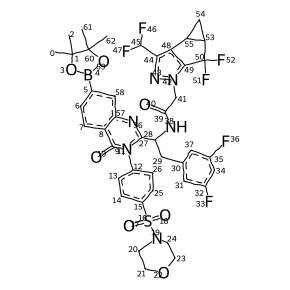 CC1(C)OB(c2ccc3c(=O)n(-c4ccc(S(=O)(=O)N5CCOCC5)cc4)c(C(Cc4cc(F)cc(F)c4)NC(=O)Cn4nc(C(F)F)c5c4C(F)(F)C4CC54)nc3c2)OC1(C)C